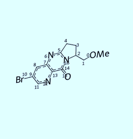 COCC1CCc2nc3cc(Br)cnc3c(=O)n21